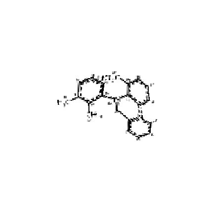 Cc1cccc(N(Cc2ccccn2)c2ccccc2C(=O)O)c1C